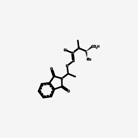 CC[C@@H](C)[C@@H](C(=O)O)N(C)/[N+]([O-])=N/OC(C)N1C(=O)c2ccccc2C1=O